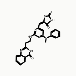 CN(c1ccccc1)c1cc(C=C2SC(=O)NC2=O)nc(NCCc2nc3ccccc3c(=O)[nH]2)n1